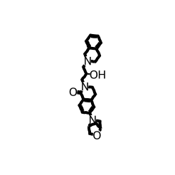 O=C1c2ccc(N3CC4CC3CO4)cc2CCN1C[C@H](O)CN1CCc2ccccc2C1